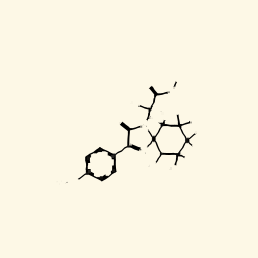 [2H]OC(=O)C([2H])([2H])N1C(=O)C(c2ccc(OC)cc2)=NC12C([2H])C([2H])([2H])C([2H])([2H])C([2H])([2H])C2([2H])[2H]